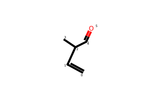 C=CC(C)[C]=O